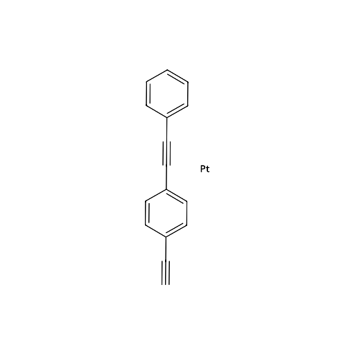 C#Cc1ccc(C#Cc2ccccc2)cc1.[Pt]